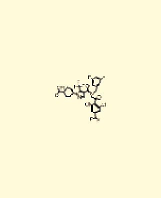 O=C(CN(Cc1cc(F)cc(F)c1)C(=O)c1cnn(C2CCC(C(=O)O)CC2)c1C(F)(F)F)c1c(Cl)cc(C(F)F)cc1Cl